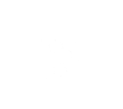 CCC(=C(CC)c1ccc(CC)cc1)c1ccc(CC)cc1